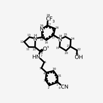 N#Cc1ccc(CCNC(=O)C2CCCN2c2cc(N3CCC(CO)CC3)cc(C(F)(F)F)n2)cc1